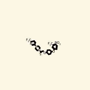 O=[N+]([O-])c1ccc(OC2CCC(OCC(=S)N3CCN(c4ccc(C(F)(F)F)nc4)CC3)CC2)cc1C(F)(F)F